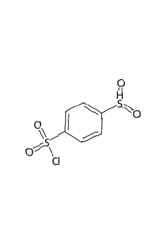 O=[SH](=O)c1ccc(S(=O)(=O)Cl)cc1